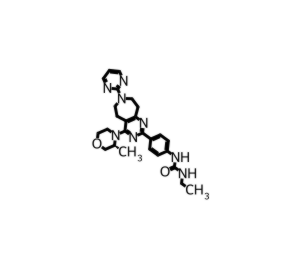 CCNC(=O)Nc1ccc(-c2nc3c(c(N4CCOC[C@@H]4C)n2)CCN(c2ncccn2)CC3)cc1